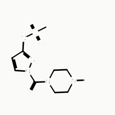 CS(=O)(=O)Nc1ccn(C(=O)N2CCN(C(=O)O)CC2)n1